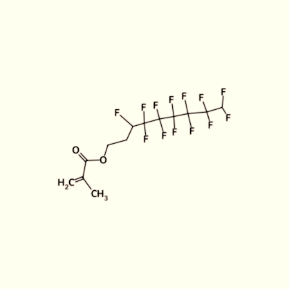 C=C(C)C(=O)OCCC(F)C(F)(F)C(F)(F)C(F)(F)C(F)(F)C(F)(F)C(F)F